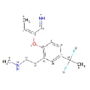 C/C=C(\C=N)Oc1ccc(C(C)(F)F)cc1CCNC